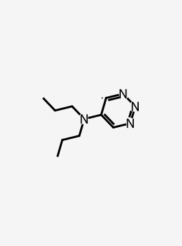 CCCN(CCC)c1[c]nnnc1